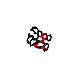 Cc1ccc2ccc(P(c3ccccc3)c3ccccc3)c(-c3c(P(c4ccccc4)c4ccccc4)ccc4ccc(C)cc34)c2c1